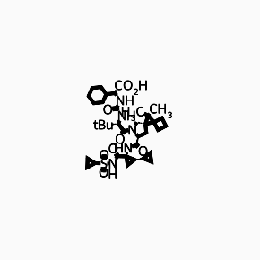 CC(C)(C)[C@H](NC(=O)N[C@H](C(=O)O)C1CCCCC1)C(=O)N1C[C@]2(C[C@H]1C(=O)N[C@]1(C(=O)NS(=O)(=O)C3CC3)C[C@H]1C1CC1)C(C)(C)C21CCC1